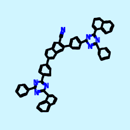 N#Cc1cc2ccc(-c3ccc(-c4nc(-c5ccccc5)nc(-c5cccc6ccccc56)n4)cc3)cc2cc1-c1ccc(-c2nc(-c3ccccc3)nc(-c3cccc4ccccc34)n2)cc1